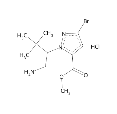 COC(=O)c1cc(Br)nn1C(CN)C(C)(C)C.Cl